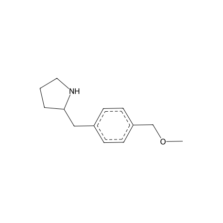 COCc1ccc(CC2CCCN2)cc1